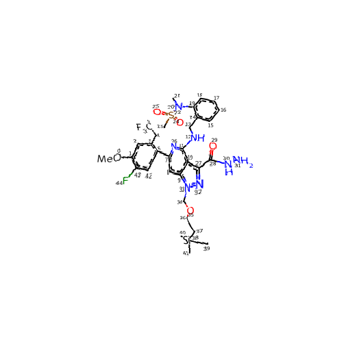 COc1cc(CC(F)(F)F)c(-c2cc3c(c(NCc4ccccc4N(C)S(C)(=O)=O)n2)c(C(=O)NN)nn3COCC[Si](C)(C)C)cc1F